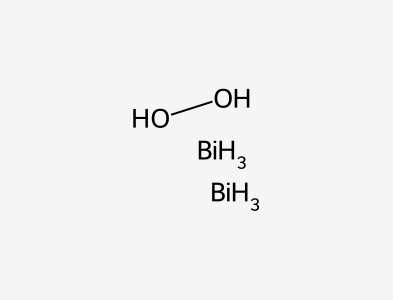 OO.[BiH3].[BiH3]